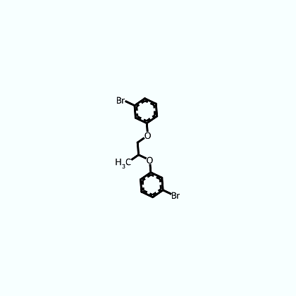 CC(COc1cccc(Br)c1)Oc1cccc(Br)c1